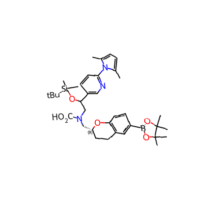 Cc1ccc(C)n1-c1ccc(C(CN(C[C@H]2CCc3cc(B4OC(C)(C)C(C)(C)O4)ccc3O2)C(=O)O)O[Si](C)(C)C(C)(C)C)cn1